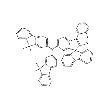 CC1(C)c2ccccc2-c2ccc(N(c3ccc4c(c3)C(C)(C)c3ccccc3-4)c3ccc4c(c3)C3(c5ccccc5-c5ccccc53)c3ccc5ccccc5c3-4)cc21